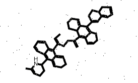 C=C(CC/C(=C\C)c1c2c(c(C3CCC=C(C)N3)c3ccccc13)=CCCC=2)C1=C2C=CCCC2=C(C2=CC3=CC=CCC3CC2)C2=CCCCC21